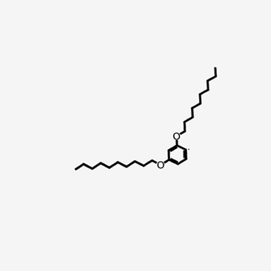 CCCCCCCCCCOc1[c]ccc(OCCCCCCCCCC)c1